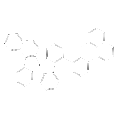 c1ccc2c(c1)-c1c(-c3cccc4c3Oc3cccc5cccc-4c35)cccc1C21c2ccccc2-c2c1ccc1ccccc21